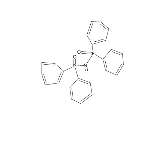 O=P(BP(=O)(c1ccccc1)c1ccccc1)(c1ccccc1)c1ccccc1